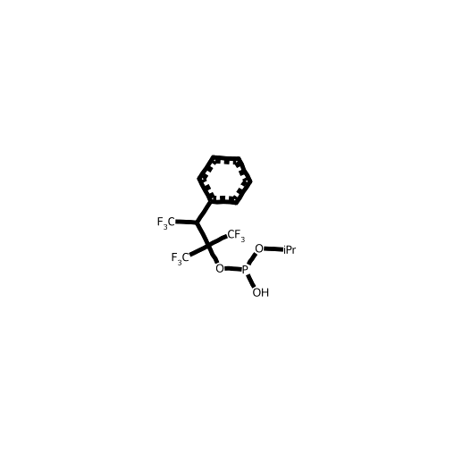 CC(C)OP(O)OC(C(c1ccccc1)C(F)(F)F)(C(F)(F)F)C(F)(F)F